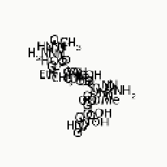 CCN(C)C(=O)C[C@@H]1[C@@H](COP(=O)(O)OP(=O)(O)OP(=O)(O)OCC2O[C@@H](n3cnc4c(N)ncnc43)[C@H](OC)[C@@H]2OP(=O)([O-])OC[C@H]2O[C@@H](n3ccc(=O)[nH]c3=O)[C@H](O)[C@@H]2O)OC(n2c[n+](C)c3c(=O)[nH]c(N)nc32)[C@@H]1O